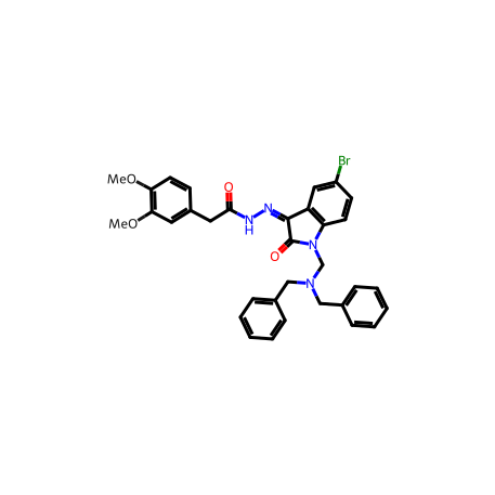 COc1ccc(CC(=O)NN=C2C(=O)N(CN(Cc3ccccc3)Cc3ccccc3)c3ccc(Br)cc32)cc1OC